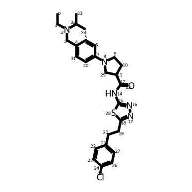 CCN(Cc1ccc(N2CCC(C(=O)Nc3nnc(CCc4ccc(Cl)cc4)s3)C2)cc1)C(C)C